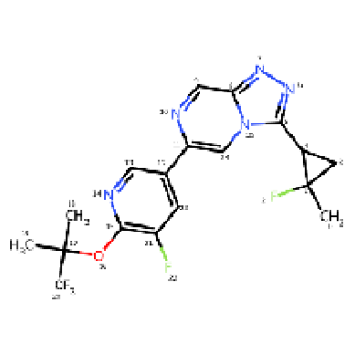 CC1(F)CC1c1nnc2cnc(-c3cnc(OC(C)(C)C(F)(F)F)c(F)c3)cn12